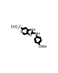 CCOC(=O)c1cc2[nH]c(Nc3ccc(OC)cc3)nc2cn1